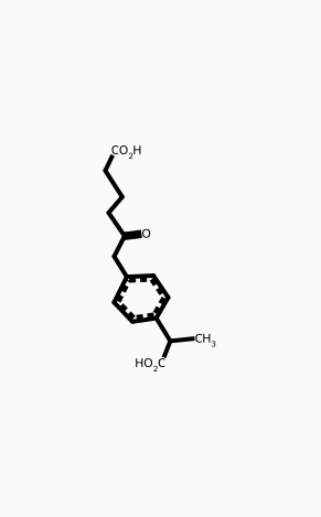 CC(C(=O)O)c1ccc(CC(=O)CCCC(=O)O)cc1